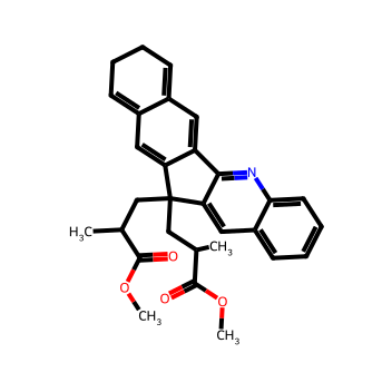 COC(=O)C(C)CC1(CC(C)C(=O)OC)c2cc3c(cc2-c2nc4ccccc4cc21)=CCCC=3